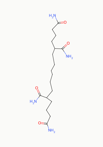 NC(=O)CCCC(CCCCCCC(CCCC(N)=O)C(N)=O)C(N)=O